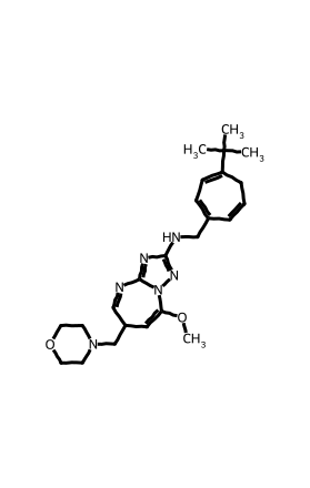 COC1=CC(CN2CCOCC2)C=Nc2nc(NCC3=CC=C(C(C)(C)C)CC=C3)nn21